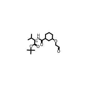 CC(C)[C@H](NC(=O)C1CCCC(OCC=O)C1)C(=O)OC(C)(C)C